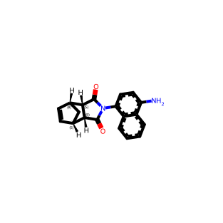 Nc1ccc(N2C(=O)[C@@H]3[C@H](C2=O)[C@@H]2C=C[C@H]3C2)c2ccccc12